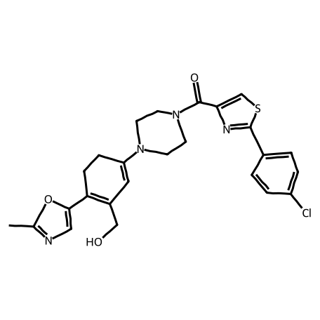 Cc1ncc(C2=C(CO)C=C(N3CCN(C(=O)c4csc(-c5ccc(Cl)cc5)n4)CC3)CC2)o1